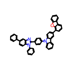 c1ccc(-c2ccc3c(c2)nc(-c2ccc(-n4c5ccccc5c5cc(-c6cccc7c6oc6ccccc67)ccc54)cc2)n3-c2ccccc2)cc1